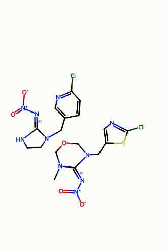 CN1COCN(Cc2cnc(Cl)s2)/C1=N/[N+](=O)[O-].O=[N+]([O-])/N=C1\NCCN1Cc1ccc(Cl)nc1